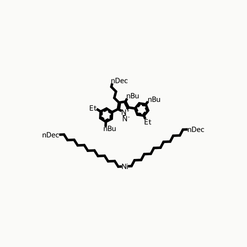 CCCCCCCCCCCCCC1=C(c2cc(CC)cc(CCCC)c2)[N+](=[N-])C(c2cc(CC)cc(CCCC)c2)=C1CCCC.CCCCCCCCCCCCCCCCCCCCC[CH2][Ni][CH2]CCCCCCCCCCCCCCCCCCCCC